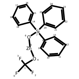 FC(F)(F)[O][Zn][O][Si](c1ccccc1)(c1ccccc1)c1ccccc1